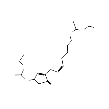 CCOC(C)OCCCC/C=C\CC1=CC(OC(C)OCC)CC1=O